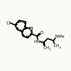 C=C(CC(C)NC)NC(=O)c1ccc2cc(Cl)ccc2n1